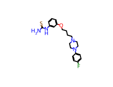 NC(=S)Nc1cccc(OCCCCN2CCN(c3ccc(F)cc3)CC2)c1